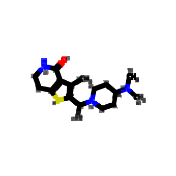 CCC(c1sc2c(c1C)C(=O)NCC2)N1CCC(N(C)C)CC1